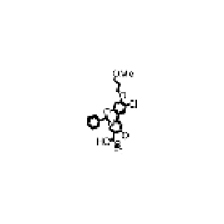 CCOC(O)c1cn2c(cc1=O)-c1cc(Cl)c(OCCCOC)cc1OC2c1ccccc1